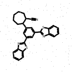 N#CC1CCCCCC1c1cc(-c2nc3ccccc3s2)cc(-c2nc3ccccc3s2)c1